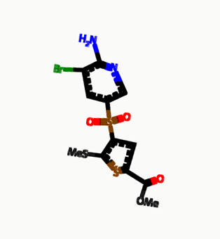 COC(=O)c1cc(S(=O)(=O)c2cnc(N)c(Br)c2)c(SC)s1